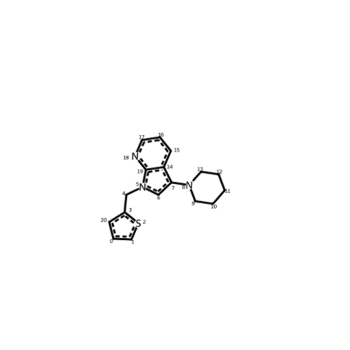 c1csc(Cn2cc(N3CCCCC3)c3cccnc32)c1